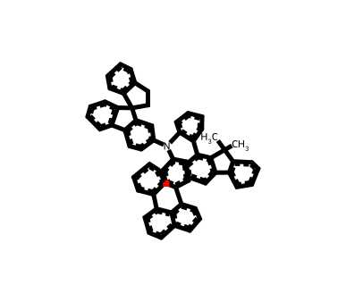 CC1(C)c2ccccc2-c2cccc(-c3ccccc3N(c3ccc(-c4cccc5cccc(-c6ccccc6)c45)cc3)c3ccc4c(c3)C3(CCc5ccccc53)c3ccccc3-4)c21